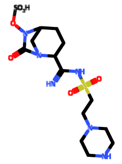 N=C(NS(=O)(=O)CCN1CCNCC1)C1CCC2CN1C(=O)N2OS(=O)(=O)O